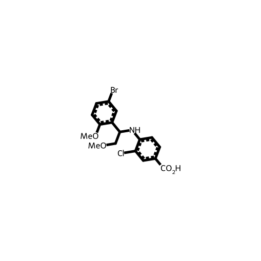 COCC(Nc1ccc(C(=O)O)cc1Cl)c1cc(Br)ccc1OC